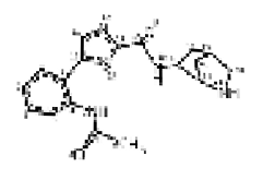 CC(=O)Nc1ccccc1-c1cnc(C(=O)NC2CC3CNC2C3)s1